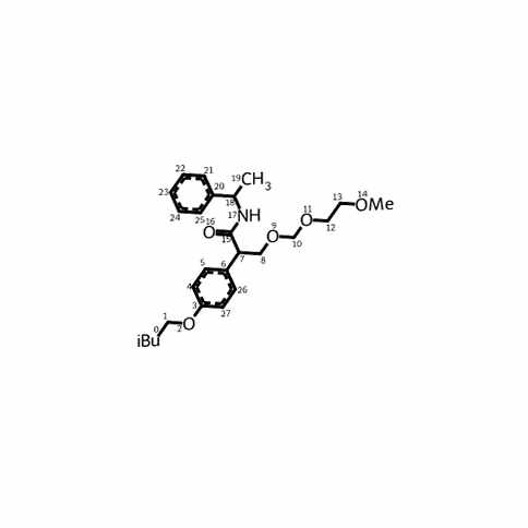 CCC(C)COc1ccc(C(COCOCCOC)C(=O)NC(C)c2ccccc2)cc1